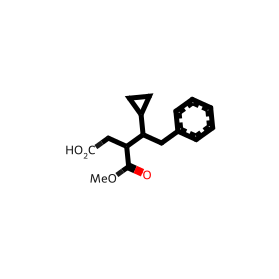 COC(=O)C(CC(=O)O)C(Cc1ccccc1)C1CC1